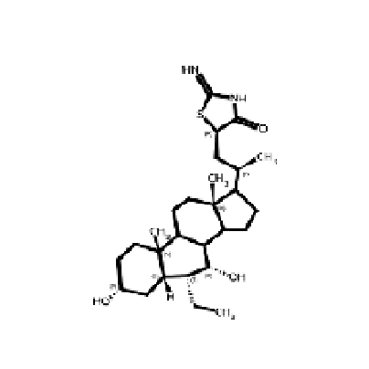 CC[C@H]1[C@@H](O)C2C3CCC([C@H](C)C[C@H]4SC(=N)NC4=O)[C@@]3(C)CCC2[C@@]2(C)CC[C@@H](O)C[C@@H]12